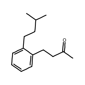 CC(=O)CCc1ccccc1CCC(C)C